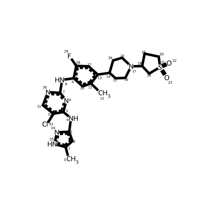 Cc1cc(Nc2nc(Nc3cc(C)c(C4CCN(C5CCS(=O)(=O)C5)CC4)cc3F)ncc2Cl)n[nH]1